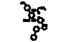 C=CC(=O)Nc1cc(Nc2cc(N3OCC[C@@H]3c3cccc(-c4ccccc4)c3)ncn2)c(OC)cc1N1CCN(CCC)CC1